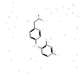 CC(=O)c1ccc(Nc2ccc(C[C@@H](C)O)cc2)c([N+](=O)[O-])c1